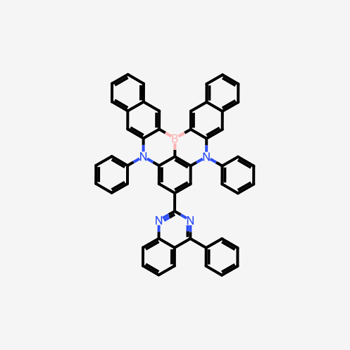 c1ccc(-c2nc(-c3cc4c5c(c3)N(c3ccccc3)c3cc6ccccc6cc3B5c3cc5ccccc5cc3N4c3ccccc3)nc3ccccc23)cc1